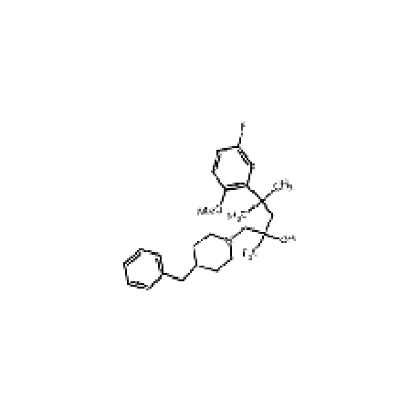 COc1ccc(F)cc1C(C)(C)CC(O)(CN1CCC(Cc2ccccc2)CC1)C(F)(F)F